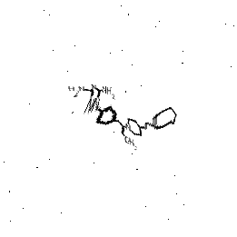 CC=C(c1ccc(-n2nc(N)nc2N)cc1)N1CCC(N2CCCCC2)CC1